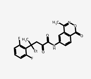 CCC(C)(CC(=O)C(=O)Nc1ccc2c(=O)onc(C)c2c1)c1c(F)cccc1F